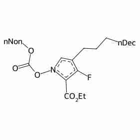 CCCCCCCCCCCCCc1cn(OC(=O)OCCCCCCCCC)c(C(=O)OCC)c1F